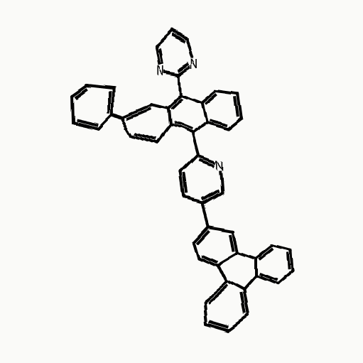 c1ccc(-c2ccc3c(-c4ccc(-c5ccc6c7ccccc7c7ccccc7c6c5)cn4)c4ccccc4c(-c4ncccn4)c3c2)cc1